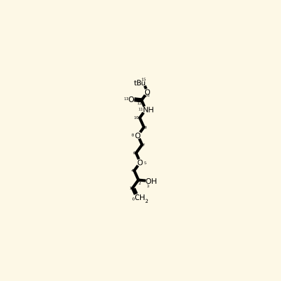 C=CC(O)COCCOCCNC(=O)OC(C)(C)C